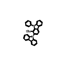 CC(C)(C)c1c(-n2c3ccccc3c3ccccc32)ccc2c3ccccc3n(-c3ccccc3)c12